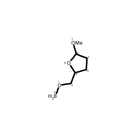 BOCC1CCC(OC)O1